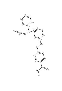 COC(=O)c1ccc(COc2cccc(C(N=[N+]=[N-])c3ccccc3)c2)cc1